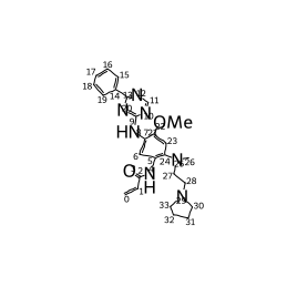 C=CC(=O)Nc1cc(Nc2ncnc(-c3ccccc3)n2)c(OC)cc1N(C)CCN1CCCC1